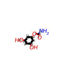 NC(=O)Oc1cc(O)cc(O)c1